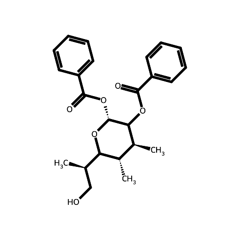 C[C@H](CO)C1O[C@H](OC(=O)c2ccccc2)C(OC(=O)c2ccccc2)[C@@H](C)[C@@H]1C